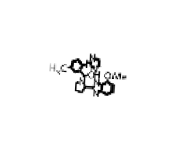 COc1cccc2nc(C3CCCN3C(=O)c3cc(C)ccc3-n3nccn3)[nH]c12